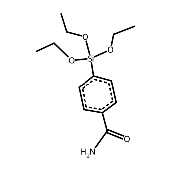 CCO[Si](OCC)(OCC)c1ccc(C(N)=O)cc1